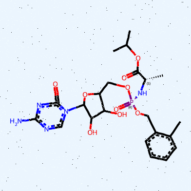 Cc1ccccc1CO[P@](=O)(N[C@@H](C)C(=O)OC(C)C)OCC1OC(n2cnc(N)nc2=O)C(O)C1O